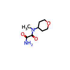 CN(C(=O)C(N)=O)C1CCOCC1